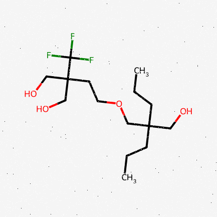 CCCC(CO)(CCC)COCCC(CO)(CO)C(F)(F)F